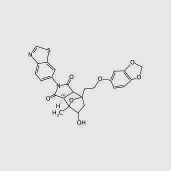 CC12OC(CCOc3ccc4c(c3)OCO4)(CC1O)C1C(=O)N(c3ccc4ncsc4c3)C(=O)[C@@H]12